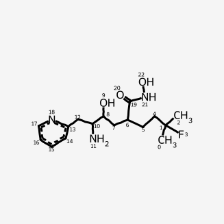 CC(C)(F)CCC(CC(O)C(N)Cc1ccccn1)C(=O)NO